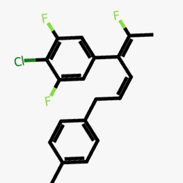 C/C(F)=C(\C=C/Cc1ccc(C)cc1)c1cc(F)c(Cl)c(F)c1